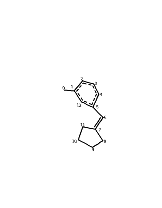 Cc1cccc(C=C2CCCC2)c1